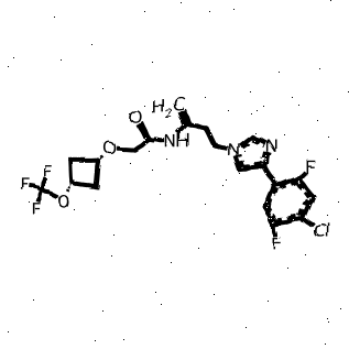 C=C(CCn1cnc(-c2cc(F)c(Cl)cc2F)c1)NC(=O)CO[C@H]1C[C@@H](OC(F)(F)F)C1